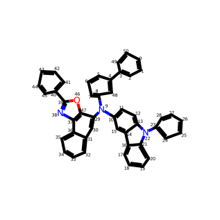 c1ccc(-c2cccc(N(c3ccc4c(c3)c3ccccc3n4-c3ccccc3)c3cc4ccccc4c4nc(-c5ccccc5)oc34)c2)cc1